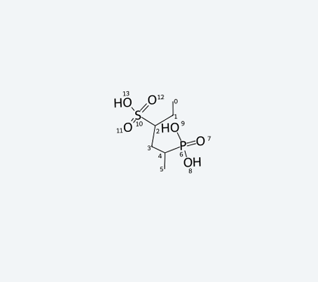 CCC(CC(C)P(=O)(O)O)S(=O)(=O)O